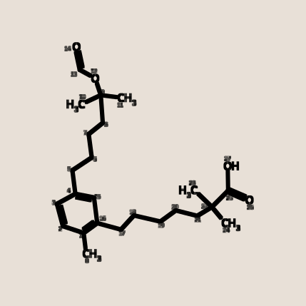 Cc1ccc(CCCCC(C)(C)OC=O)cc1CCCCCC(C)(C)C(=O)O